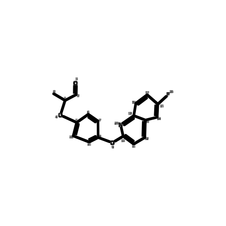 CC(C=O)Oc1ccc(Oc2ccc3cc(F)ccc3n2)cc1